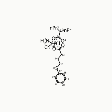 CCCC(CCC)C(=O)OP(N)(Cl)(Cl)OC(=O)CCCSc1ccccc1